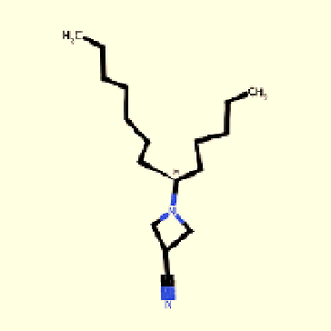 CCCCCCC[C@@H](CCCCC)N1CC(C#N)C1